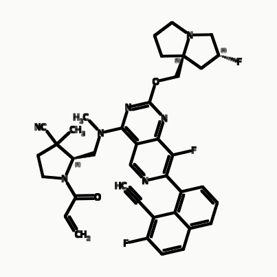 C#Cc1c(F)ccc2cccc(-c3ncc4c(N(C)C[C@H]5N(C(=O)C=C)CCC5(C)C#N)nc(OC[C@@]56CCCN5C[C@H](F)C6)nc4c3F)c12